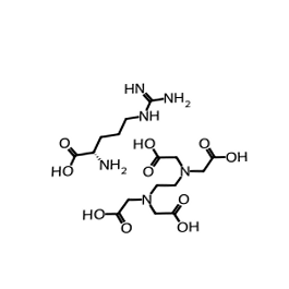 N=C(N)NCCC[C@H](N)C(=O)O.O=C(O)CN(CCN(CC(=O)O)CC(=O)O)CC(=O)O